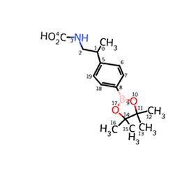 CC(CNC(=O)O)c1ccc(B2OC(C)(C)C(C)(C)O2)cc1